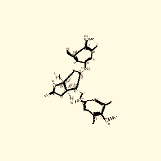 COc1c(C)cc(PC[C@@H]2[C@H]3CC(=O)O[C@H]3C[C@@H]2Pc2cc(C)c(OC)c(C)c2)cc1C